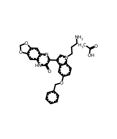 CC(=O)O.NCCCn1cc(-c2nc3cc4c(cc3[nH]c2=O)OCO4)c2cc(OCc3ccccc3)ccc21